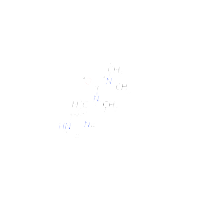 CN(C)C(=O)N(C)C.c1c[nH]cn1